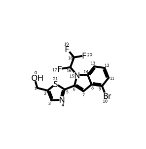 OCc1cnc(-c2cc3c(Br)cccc3n2C(F)C(F)F)s1